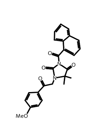 COc1ccc(C(=O)CN2C(=O)N(C(=O)c3cccc4ccccc34)C(=O)C2(C)C)cc1